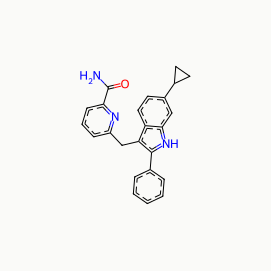 NC(=O)c1cccc(Cc2c(-c3ccccc3)[nH]c3cc(C4CC4)ccc23)n1